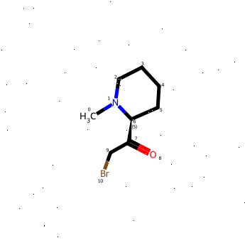 CN1CCCC[C@H]1C(=O)CBr